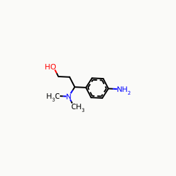 CN(C)C(CCO)c1ccc(N)cc1